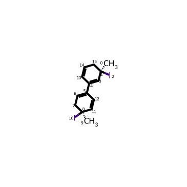 C[C@]1(I)C=C(C2=CC[C@](C)(I)C=C2)C=CC1